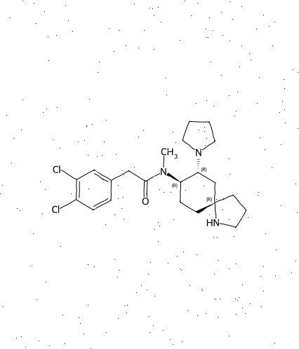 CN(C(=O)Cc1ccc(Cl)c(Cl)c1)[C@@H]1CC[C@]2(CCCN2)C[C@H]1N1CCCC1